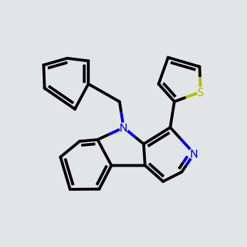 c1ccc(Cn2c3ccccc3c3ccnc(-c4cccs4)c32)cc1